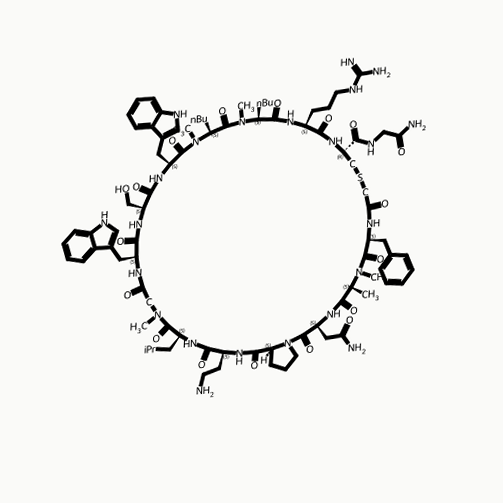 CCCC[C@H]1C(=O)N(C)[C@@H](CCCC)C(=O)N[C@@H](CCCNC(=N)N)C(=O)N[C@H](C(=O)NCC(N)=O)CSCC(=O)N[C@@H](Cc2ccccc2)C(=O)N(C)[C@@H](C)C(=O)N[C@@H](CC(N)=O)C(=O)N2CCC[C@H]2C(=O)N[C@@H](CCN)C(=O)N[C@@H](CC(C)C)C(=O)N(C)CC(=O)N[C@@H](Cc2c[nH]c3ccccc23)C(=O)N[C@@H](CO)C(=O)N[C@@H](Cc2c[nH]c3ccccc23)C(=O)N1C